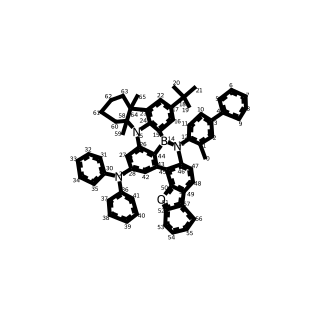 Cc1cc(-c2ccccc2)ccc1N1B2c3cc(C(C)(C)C)cc4c3N(c3cc(N(c5ccccc5)c5ccccc5)cc(c32)-c2c1ccc1c2oc2ccccc21)C1(C)CCCCC41C